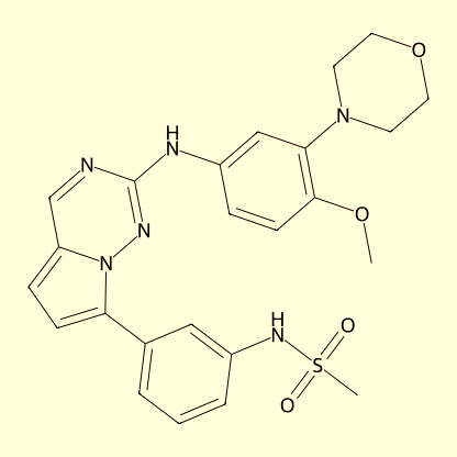 COc1ccc(Nc2ncc3ccc(-c4cccc(NS(C)(=O)=O)c4)n3n2)cc1N1CCOCC1